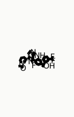 CC(=O)N1CCC[C@@H](c2nc(-c3ccc(C(C)(O)c4cccc(C(F)F)c4)cc3F)c3c(N)nccn23)C1